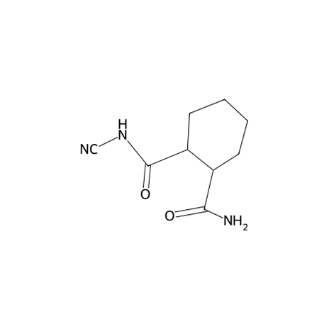 N#CNC(=O)C1CCCCC1C(N)=O